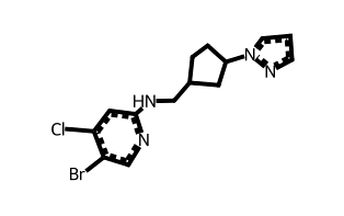 Clc1cc(NCC2CCC(n3cccn3)C2)ncc1Br